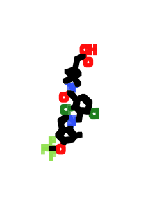 Cc1cc(OC(F)(F)F)cc2ccn(Cc3c(Cl)ccc(C(=O)N4CC5(CC(CC(=O)O)C5)C4)c3Cl)c12